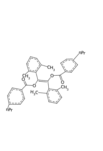 CCCc1ccc(C(=O)O/C(=C(/OC(=O)c2ccc(CCC)cc2)c2c(C)cccc2C)c2c(C)cccc2C)cc1